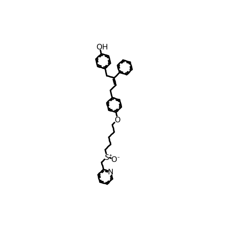 [O-][S+](CCCCCOc1ccc(C/C=C(\Cc2ccc(O)cc2)c2ccccc2)cc1)Cc1ccccn1